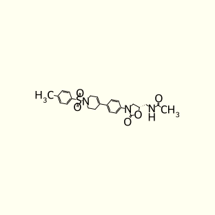 CC(=O)NC[C@H]1CN(c2ccc(C3=CCN(S(=O)(=O)c4ccc(C)cc4)CC3)cc2)C(=O)O1